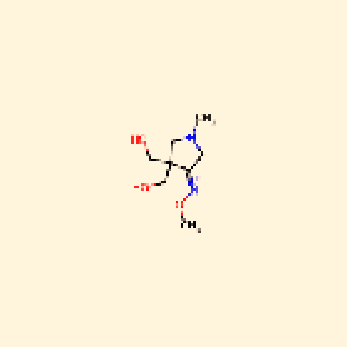 CO/N=C1/CN(C)CC1(CO)CO